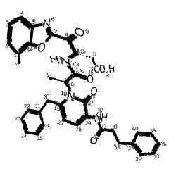 Cc1cccc2nc(C(=O)[C@H](CC(=O)O)NC(=O)[C@H](C)n3c(Cc4ccccc4)ccc(NC(=O)CCc4ccccc4)c3=O)oc12